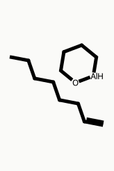 C1C[CH2][AlH][O]C1.C=CCCCCCC